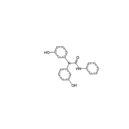 O=C(Nc1ccccc1)N(c1cccc(O)c1)c1cccc(O)c1